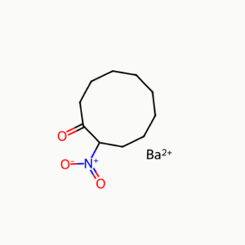 O=C1CCCCCCCCC1[N+](=O)[O-].[Ba+2]